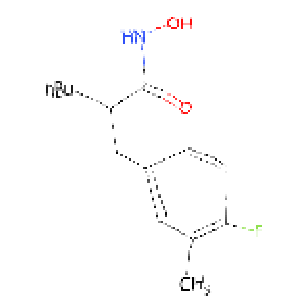 CCCCC(Cc1ccc(F)c(C)c1)C(=O)NO